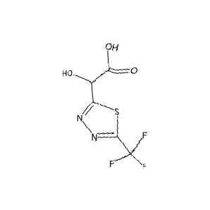 O=C(O)C(O)c1nnc(C(F)(F)F)s1